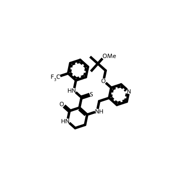 COC(C)(C)COc1cnccc1CNC1=C(C(=S)Nc2ccccc2C(F)(F)F)C(=O)NCC1